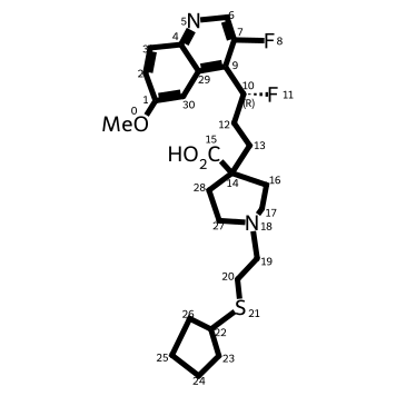 COc1ccc2ncc(F)c([C@H](F)CCC3(C(=O)O)CCN(CCSC4CCCC4)CC3)c2c1